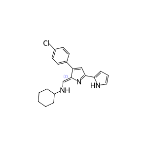 Clc1ccc(C2=CC(c3ccc[nH]3)=N/C2=C\NC2CCCCC2)cc1